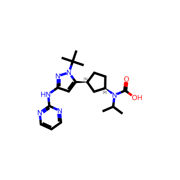 CC(C)N(C(=O)O)[C@@H]1CC[C@H](c2cc(Nc3ncccn3)nn2C(C)(C)C)C1